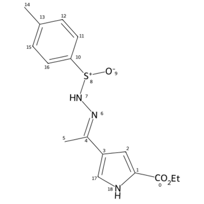 CCOC(=O)c1cc(/C(C)=N/N[S+]([O-])c2ccc(C)cc2)c[nH]1